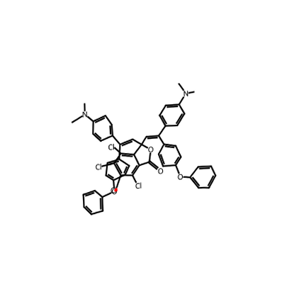 CN(C)c1ccc(C(=CC2(C=C(c3ccc(Oc4ccccc4)cc3)c3ccc(N(C)C)cc3)OC(=O)c3c(Cl)c(Cl)c(Cl)c(Cl)c32)c2ccc(Oc3ccccc3)cc2)cc1